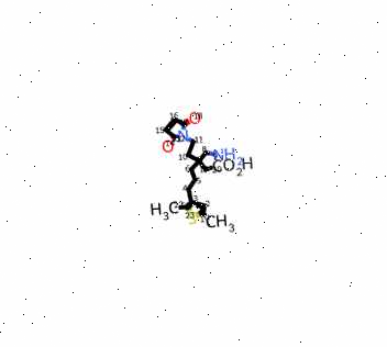 Cc1cc(CCCC(CN)(CCN2C(=O)C=CC2=O)CC(=O)O)c(C)s1